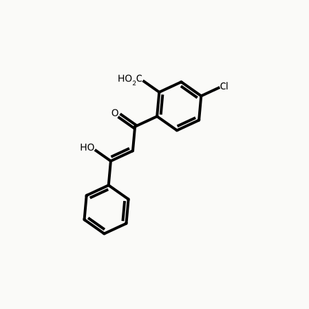 O=C(O)c1cc(Cl)ccc1C(=O)C=C(O)c1ccccc1